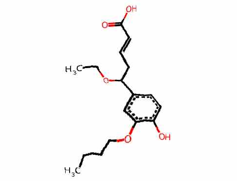 CCCCOc1cc(C(CC=CC(=O)O)OCC)ccc1O